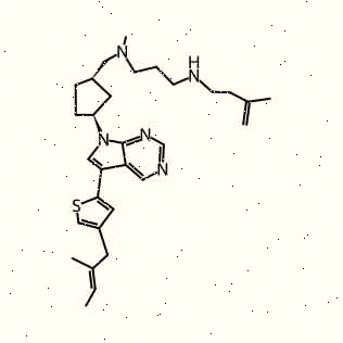 C=C(C)CCNCCCN(C)C[C@@H]1CC[C@H](n2cc(-c3cc(C/C(C)=C/C)cs3)c3cncnc32)C1